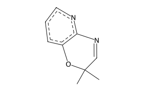 CC1(C)C=Nc2ncccc2O1